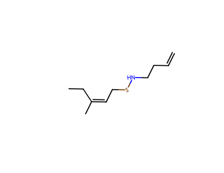 C=CCCNSC/C=C(/C)CC